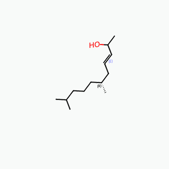 CC(O)/C=C/C[C@H](C)CCCC(C)C